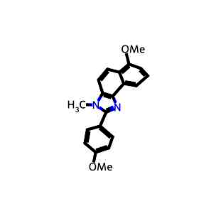 COc1ccc(-c2nc3c4cccc(OC)c4ccc3n2C)cc1